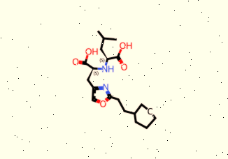 CC(C)C[C@H](N[C@@H](Cc1coc(CCC2CCCCC2)n1)C(=O)O)C(=O)O